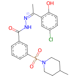 C/C(=N/NC(=O)c1cccc(S(=O)(=O)N2CCC(C)CC2)c1)c1cc(Cl)ccc1O